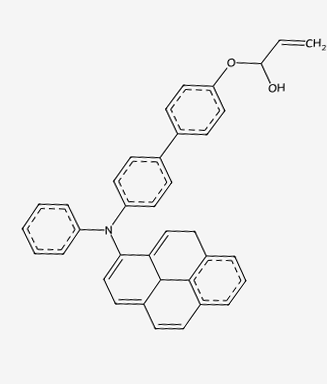 C=CC(O)Oc1ccc(-c2ccc(N(C3=CC=C4C=Cc5cccc6c5C4C3=CC6)c3ccccc3)cc2)cc1